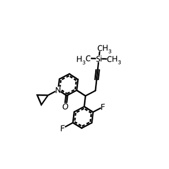 C[Si](C)(C)C#CCC(c1cc(F)ccc1F)c1cccn(C2CC2)c1=O